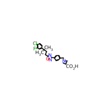 CC(C)(CCc1nc(-c2ccc(CN3CC(C(=O)O)C3)cc2)no1)c1ccc(Cl)c(F)c1